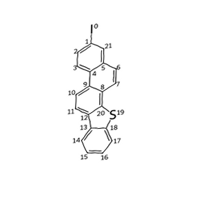 Ic1ccc2c(ccc3c2ccc2c4ccccc4sc23)c1